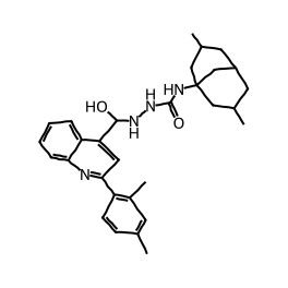 Cc1ccc(-c2cc(C(O)NNC(=O)NC34CC(C)CC(CC(C)C3)C4)c3ccccc3n2)c(C)c1